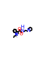 CC[C@@H](C)n1cc(C(=O)C(=O)NCCCN2CCCCC2)c2ccccc21